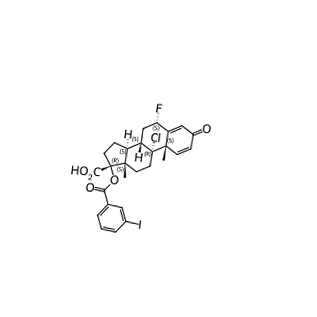 C[C@]12C=CC(=O)C=C1[C@@H](F)C[C@H]1[C@@H]3CC[C@](OC(=O)c4cccc(I)c4)(C(=O)O)[C@@]3(C)CC[C@@]12Cl